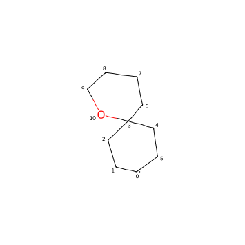 [CH]1CCC2(CC1)CCCCO2